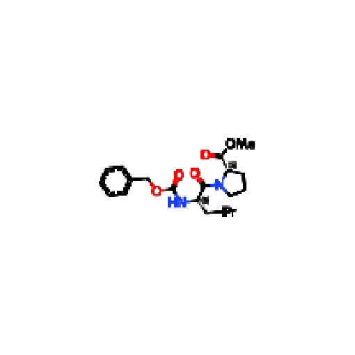 COC(=O)[C@@H]1CCCN1C(=O)[C@H](CC(C)C)NC(=O)OCc1ccccc1